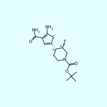 CC(C)(C)OC(=O)N1CC[C@H](c2cc(C(N)=O)c(N)s2)[C@@H](F)C1